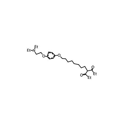 CCC(=O)C(CCCCCCCCOc1ccc(OCCN(CC)CC)cc1)C(=O)CC